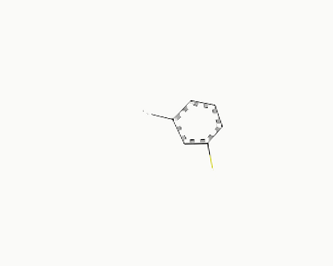 O=[N+]([O-])c1cccc([S])c1